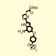 COC(=O)C[C@@H]1CSC(c2cc3cc(Oc4ccc(S(C)(=O)=O)cc4)cc(N)c3[nH]2)=N1